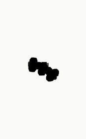 C1=CC2=C(CC1)N(c1ccc(-c3nnc(-c4ccc(N5c6ccccc6Oc6ccccc65)cc4)n3-c3ccccc3)cc1)c1ccccc1O2